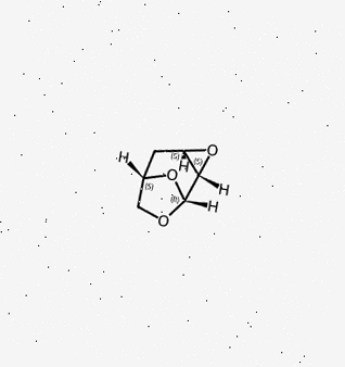 C1O[C@@H]2O[C@H]1C[C@@H]1O[C@H]21